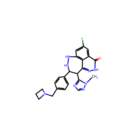 Cn1ncnc1C1c2n[nH]c(=O)c3cc(F)cc(c23)NNC1c1ccc(CN2CCC2)cc1